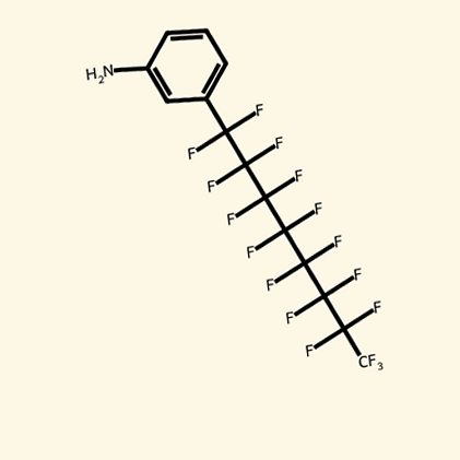 Nc1cccc(C(F)(F)C(F)(F)C(F)(F)C(F)(F)C(F)(F)C(F)(F)C(F)(F)C(F)(F)F)c1